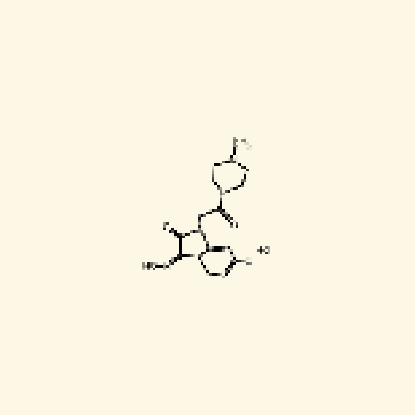 Cl.NN1CCN(C(=O)CN2C(=O)C(=NO)C3CC=C(Cl)C=C32)CC1